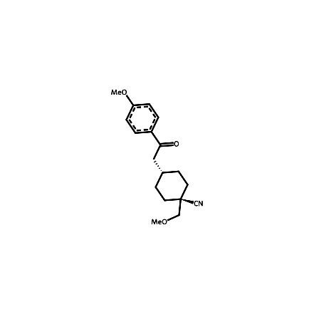 COC[C@]1(C#N)CC[C@H](CC(=O)c2ccc(OC)cc2)CC1